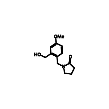 COc1ccc(CN2CCCC2=O)c(CO)c1